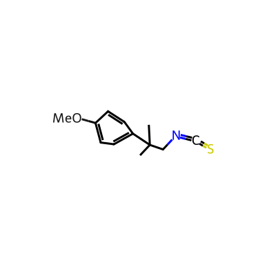 COc1ccc(C(C)(C)CN=C=S)cc1